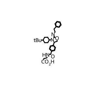 CC(C)(C)C1CCC(N2C(=NCCc3ccccc3)OCC2c2ccc(C(=O)NCCC(=O)O)cc2)CC1